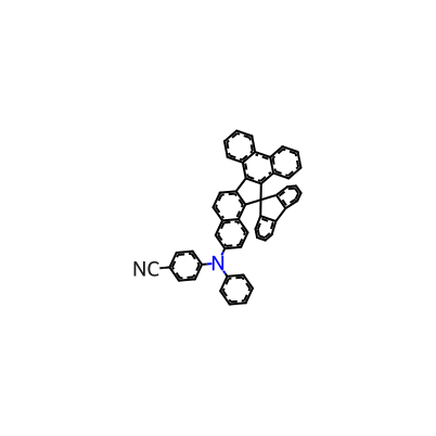 N#Cc1ccc(N(c2ccccc2)c2ccc3c4c(ccc3c2)-c2c(c3ccccc3c3ccccc23)C42c3ccccc3-c3ccccc32)cc1